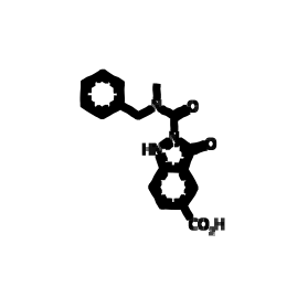 CN(Cc1ccccc1)C(=O)n1[nH]c2ccc(C(=O)O)cc2c1=O